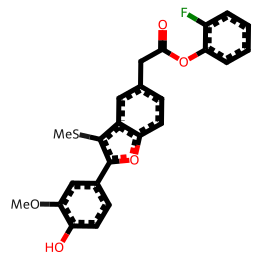 COc1cc(-c2oc3ccc(CC(=O)Oc4ccccc4F)cc3c2SC)ccc1O